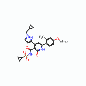 CCCCCCOc1ccc(-c2cc(-c3ccn(CC4CC4)n3)c(C(=O)NS(=O)(=O)C3CC3)c(=O)[nH]2)c(C(F)(F)F)c1